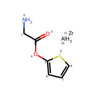 NCC(=O)Oc1cccs1.[AlH3].[Zr]